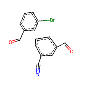 N#Cc1cccc(C=O)c1.O=Cc1cccc(Br)c1